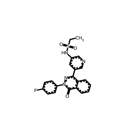 CCS(=O)(=O)Nc1cncc(-c2nn(-c3ccc(F)cc3)c(=O)c3ccccc23)c1